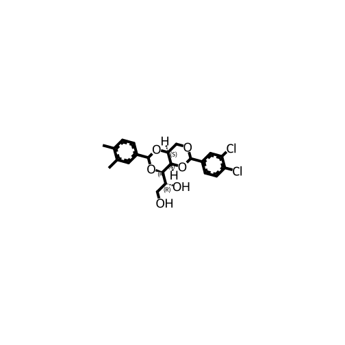 Cc1ccc(C2O[C@H]([C@H](O)CO)[C@@H]3OC(c4ccc(Cl)c(Cl)c4)OC[C@@H]3O2)cc1C